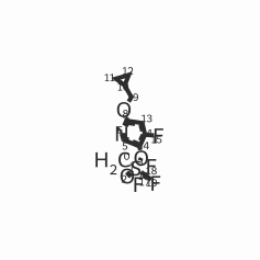 C=S(=O)(Oc1cnc(OCC2CC2)cc1F)C(F)(F)F